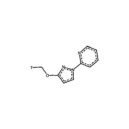 FCOc1ccn(-c2ccccn2)n1